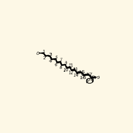 CCCCCCCCCCCCC=CC=CC=CC(C)=O